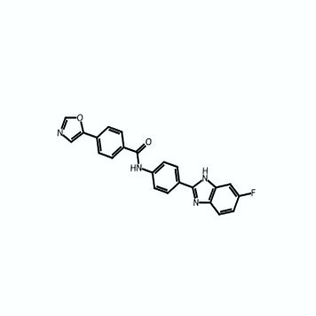 O=C(Nc1ccc(-c2nc3ccc(F)cc3[nH]2)cc1)c1ccc(-c2cnco2)cc1